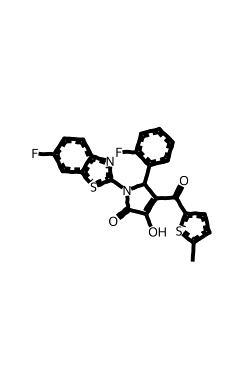 Cc1ccc(C(=O)C2=C(O)C(=O)N(c3nc4ccc(F)cc4s3)C2c2ccccc2F)s1